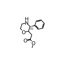 COC(=O)CC1OCCN[C@H]1c1ccccc1